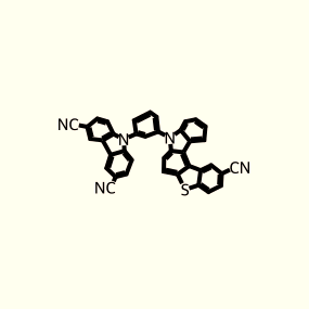 N#Cc1ccc2sc3ccc4c(c5ccccc5n4-c4cccc(-n5c6ccc(C#N)cc6c6cc(C#N)ccc65)c4)c3c2c1